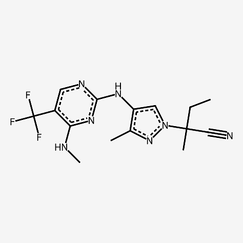 CCC(C)(C#N)n1cc(Nc2ncc(C(F)(F)F)c(NC)n2)c(C)n1